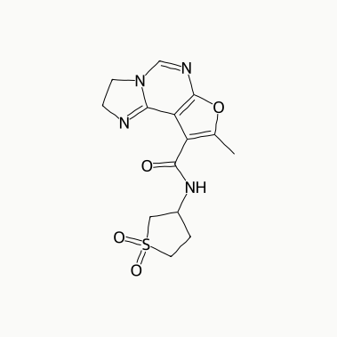 Cc1oc2c(c1C(=O)NC1CCS(=O)(=O)C1)C1=NCCN1C=N2